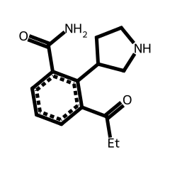 CCC(=O)c1cccc(C(N)=O)c1C1CCNC1